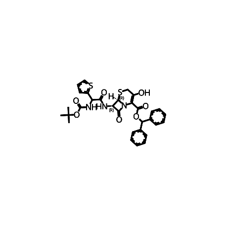 CC(C)(C)OC(=O)NC(C(=O)N[C@@H]1C(=O)N2C(C(=O)OC(c3ccccc3)c3ccccc3)=C(O)CS[C@H]12)c1cccs1